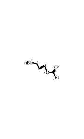 CCCCCC=COC(=O)CC